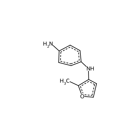 Cc1occc1Nc1ccc(N)cc1